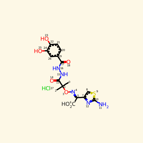 CC(C)(O/N=C(\C(=O)O)c1csc(N)n1)C(=O)NNC(=O)c1ccc(O)c(O)c1.Cl